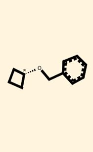 [CH]1CC[C@@H]1OCc1ccccc1